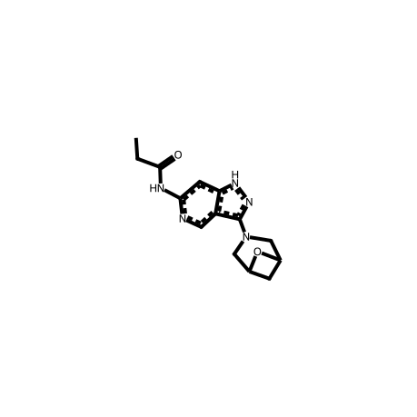 CCC(=O)Nc1cc2[nH]nc(N3CC4CC(C3)O4)c2cn1